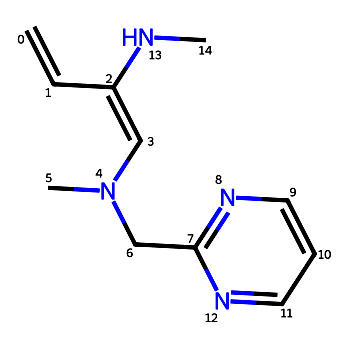 C=C/C(=C\N(C)Cc1ncccn1)NC